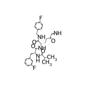 CC(C)C(=O)N[C@@H](Cc1cccc(F)c1)C(=O)N[C@@H](CCC(=O)C=N)C(=O)NCc1ccc(F)cc1